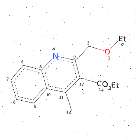 CCOCc1nc2ccccc2c(C)c1C(=O)OCC